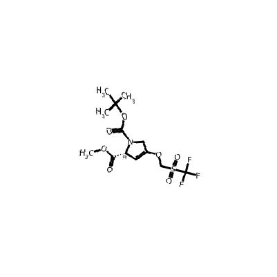 COC(=O)[C@H]1C=C(OCS(=O)(=O)C(F)(F)F)CN1C(=O)OC(C)(C)C